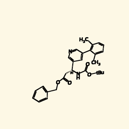 Cc1cccc(C)c1-c1cncc([C@@H](CC(=O)OCc2ccccc2)NC(=O)OC(C)(C)C)c1